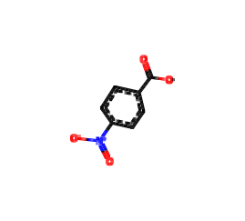 [O]C(=O)c1ccc([N+](=O)[O-])cc1